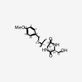 COc1ccc(CSC(C)(C)[C@H]2NC(=O)[C@H](CO)NC2=O)cc1